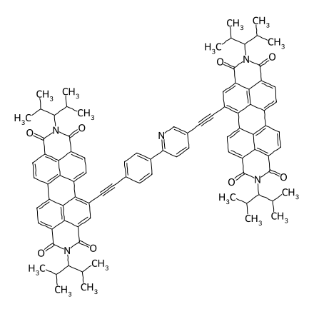 CC(C)C(C(C)C)N1C(=O)c2ccc3c4ccc5c6c(cc(C#Cc7ccc(-c8ccc(C#Cc9cc%10c%11c(ccc%12c%13ccc%14c%15c(ccc(c9c%11%12)c%15%13)C(=O)N(C(C(C)C)C(C)C)C%14=O)C(=O)N(C(C(C)C)C(C)C)C%10=O)cn8)cc7)c(c7ccc(c2c37)C1=O)c64)C(=O)N(C(C(C)C)C(C)C)C5=O